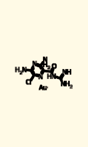 N=C(N)NC(=O)c1nc(Cl)c(N)nc1N.[Au]